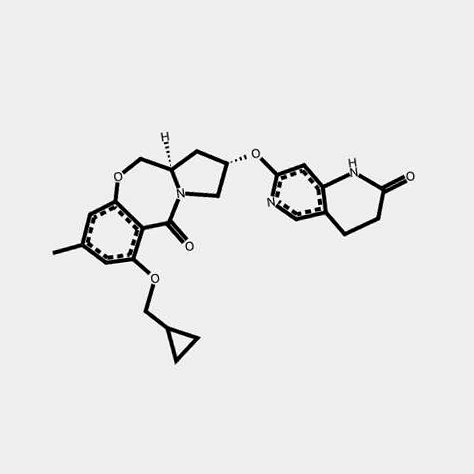 Cc1cc(OCC2CC2)c2c(c1)OC[C@H]1C[C@H](Oc3cc4c(cn3)CCC(=O)N4)CN1C2=O